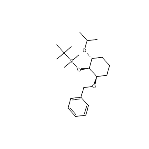 CC(C)O[C@@H]1CCC[C@@H](OCc2ccccc2)[C@H]1O[Si](C)(C)C(C)(C)C